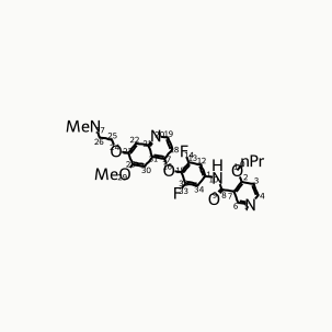 CCCOc1ccncc1C(=O)Nc1cc(F)c(Oc2ccnc3cc(OCCNC)c(OC)cc23)c(F)c1